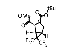 COC(=O)[C@@H]1[C@@H]2[C@H](CN1C(=O)OC(C)(C)C)C2(C(F)(F)F)C(F)(F)F